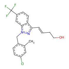 Cc1cc(Cl)ccc1Cn1nc(C=CCCO)c2ccc(C(F)(F)F)cc21